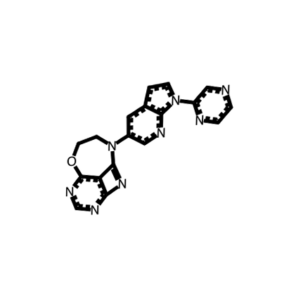 c1cnc(-n2ccc3cc(N4CCOc5ncnc6c5C4=N6)cnc32)cn1